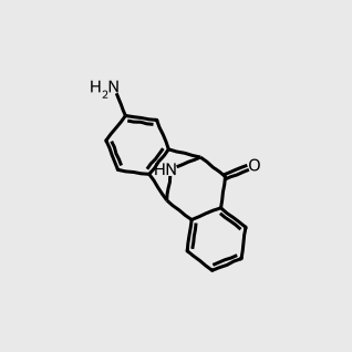 Nc1ccc2c(c1)C1NC2c2ccccc2C1=O